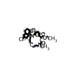 CCOC(=O)C1CC(=O)N(C)C/C=C/CCCCN2C[C@@]3(CCCc4cc(Cl)ccc43)COc3ccc1cc32